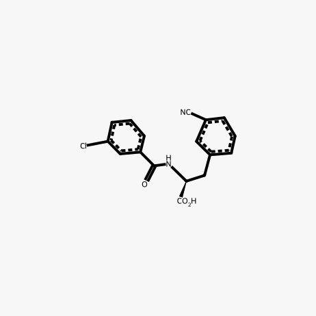 N#Cc1cccc(C[C@H](NC(=O)c2cccc(Cl)c2)C(=O)O)c1